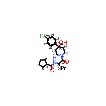 CC(C)[C@@H](NC(=O)C1CCCC1)C(=O)N1CCC(O)(c2ccc(Cl)cc2)CC1